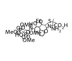 CCOc1c(NCCC(O)(P(=O)(OOC)OOC)P(=O)(OOC)OOC)cc2ccccc2c1C(=O)C1C(=O)N2C1SC(C)(C)C2(N)C(=O)O